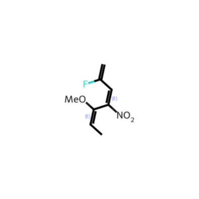 C=C(F)/C=C(\C(=C/C)OC)[N+](=O)[O-]